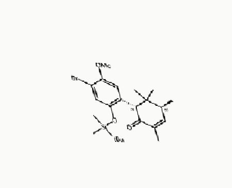 COc1cc([C@H]2C(=O)C(C)=C[C@H](C)C2(C)C)c(O[Si](C)(C)C(C)(C)C)cc1Br